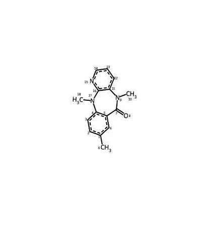 Cc1ccc2c(c1)C(=O)N(C)c1cccnc1N2C